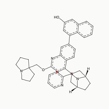 Oc1cc(-c2ccc3c(N4C[C@H]5CC[C@@H](C4)N5Cc4ccccn4)nc(OCC45CCCN4CCC5)nc3c2)c2ccccc2c1